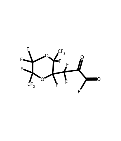 O=C(F)C(=O)C(F)(F)C1(F)OC(F)(C(F)(F)F)C(F)(F)OC1(F)C(F)(F)F